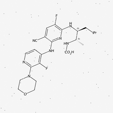 CC(C)C[C@H](Nc1nc(Nc2ccnc(N3CCOCC3)c2F)c(C#N)cc1F)[C@H](C)NC(=O)O